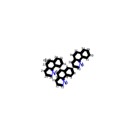 [Ir+3].c1ccc2c(c1)ccc1cccnc12.c1ccc2c(c1)ccc1cccnc12.c1ccc2c(c1)ccc1cccnc12